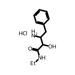 CCNC(=O)C(O)C(N)Cc1ccccc1.Cl